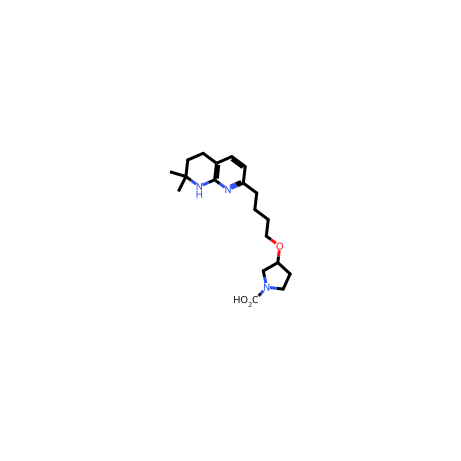 CC1(C)CCc2ccc(CCCCOC3CCN(C(=O)O)C3)nc2N1